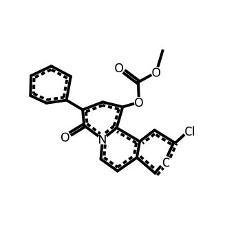 COC(=O)Oc1cc(-c2ccccc2)c(=O)n2ccc3ccc(Cl)cc3c12